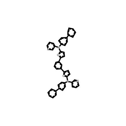 c1ccc(-c2ccc(N(c3cccnc3)c3ccc(-c4cccc(-c5ccc(N(c6ccc(-c7ccccc7)cc6)c6cccnc6)o5)c4)o3)cc2)cc1